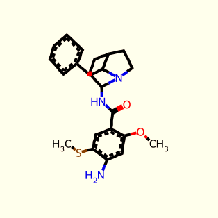 COc1cc(N)c(SC)cc1C(=O)NC1CCC2CCN1C2Cc1ccccc1